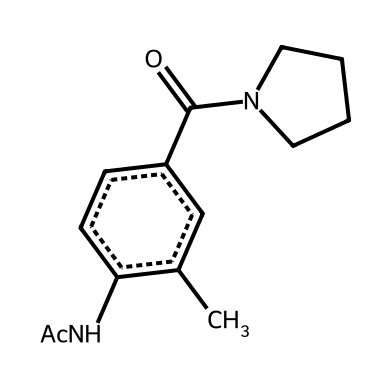 CC(=O)Nc1ccc(C(=O)N2CCCC2)cc1C